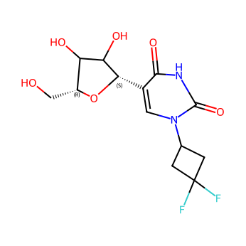 O=c1[nH]c(=O)n(C2CC(F)(F)C2)cc1[C@@H]1O[C@H](CO)C(O)C1O